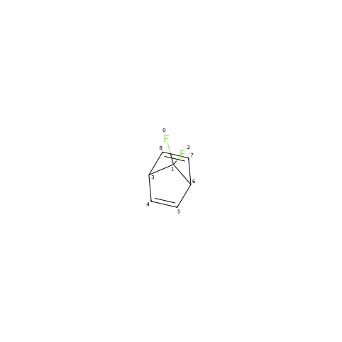 FC1(F)C2C=CC1C=C2